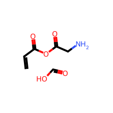 C=CC(=O)OC(=O)CN.O=CO